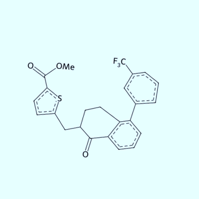 COC(=O)c1ccc(CC2CCc3c(cccc3-c3cccc(C(F)(F)F)c3)C2=O)s1